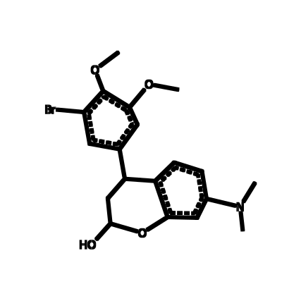 COc1cc(C2CC(O)Oc3cc(N(C)C)ccc32)cc(Br)c1OC